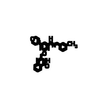 Cc1cccc(C=NNc2cc(N3CCOCC3)nc(OCc3nc4ccccc4c(=O)[nH]3)n2)c1